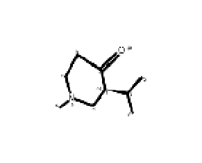 CC(C)[C@H]1CN(C)CCC1=O